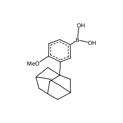 COc1ccc(B(O)O)cc1C12CC3CC(CC(C3)C1)C2